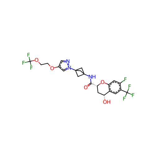 O=C(NC12CC(n3cc(OCCOC(F)(F)F)cn3)(C1)C2)[C@H]1C[C@@H](O)c2cc(C(F)(F)F)c(F)cc2O1